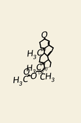 CC(=O)OC[C@@H](C)[C@H]1CCC2C3=CCC4=CC(=O)CC[C@@]4(C)C3CC[C@@]21C